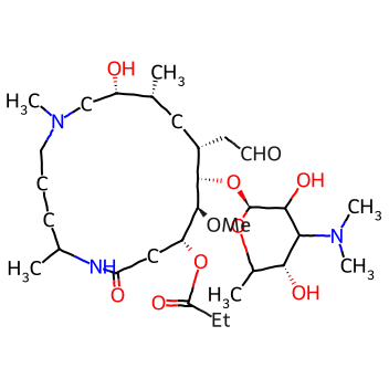 CCC(=O)O[C@@H]1CC(=O)NC(C)CCCN(C)C[C@H](O)[C@H](C)C[C@H](CC=O)[C@H](O[C@@H]2OC(C)[C@@H](O)C(N(C)C)C2O)[C@H]1OC